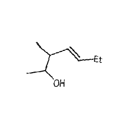 CCC=CC(C)C(C)O